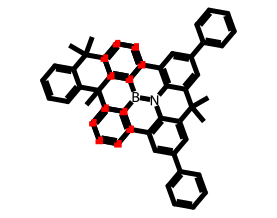 CC1(C)c2cc(-c3ccccc3)cc(-c3ccccc3)c2N(B2c3ccccc3C3(C)c4ccccc4C(C)(C)c4cccc2c43)c2c(-c3ccccc3)cc(-c3ccccc3)cc21